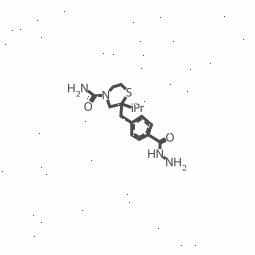 CC(C)C1(Cc2ccc(C(=O)NN)cc2)CN(C(N)=O)CCS1